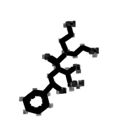 CCC(CC(C(=O)N(CCO)CCO)C(CC)C(=O)O)c1ccccc1